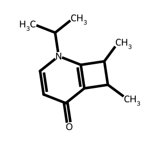 CC1c2c(n(C(C)C)ccc2=O)C1C